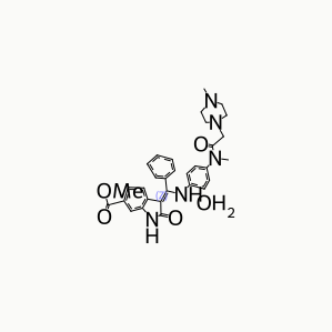 COC(=O)c1ccc2c(c1)NC(=O)/C2=C(\Nc1ccc(N(C)C(=O)CN2CCN(C)CC2)cc1)c1ccccc1.O